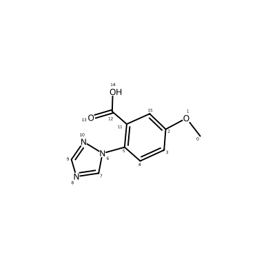 COc1ccc(-n2cncn2)c(C(=O)O)c1